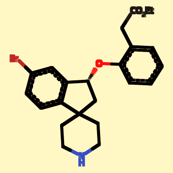 CCOC(=O)Cc1ccccc1O[C@@H]1CC2(CCNCC2)c2ccc(Br)cc21